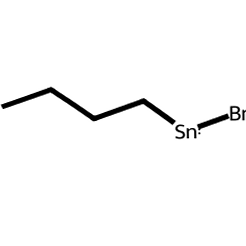 CCC[CH2][Sn][Br]